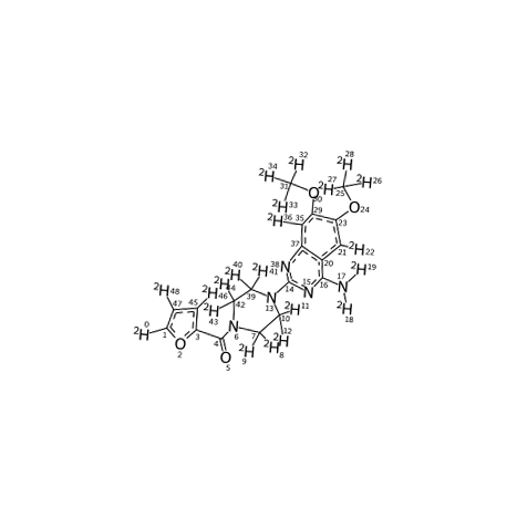 [2H]c1oc(C(=O)N2C([2H])([2H])C([2H])([2H])N(c3nc(N([2H])[2H])c4c([2H])c(OC([2H])([2H])[2H])c(OC([2H])([2H])[2H])c([2H])c4n3)C([2H])([2H])C2([2H])[2H])c([2H])c1[2H]